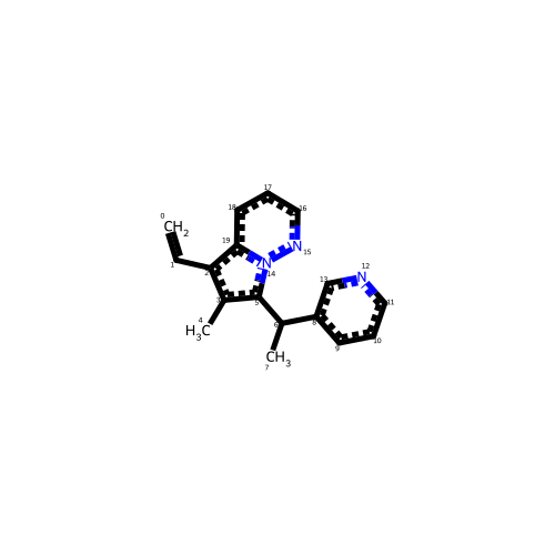 C=Cc1c(C)c(C(C)c2cccnc2)n2ncccc12